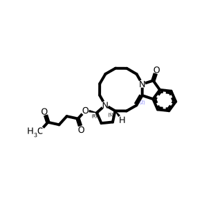 CC(=O)CCC(=O)O[C@@H]1CC[C@H]2C/C=C3/c4ccccc4C(=O)N3CCCCCCN21